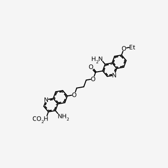 CCOc1ccc2ncc(C(=O)OCCCOc3ccc4ncc(C(=O)O)c(N)c4c3)c(N)c2c1